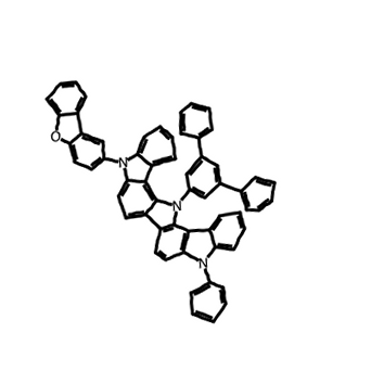 c1ccc(-c2cc(-c3ccccc3)cc(-n3c4c(ccc5c4c4ccccc4n5-c4ccccc4)c4ccc5c(c6ccccc6n5-c5ccc6oc7ccccc7c6c5)c43)c2)cc1